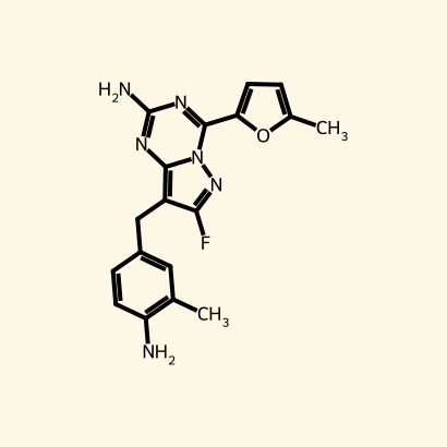 Cc1ccc(-c2nc(N)nc3c(Cc4ccc(N)c(C)c4)c(F)nn23)o1